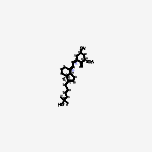 C=C1/C(=C\C=C2/CCC[C@]3(C)C(CCCCC(C)(C)O)=CCC23)CC(O)C[C@@H]1O